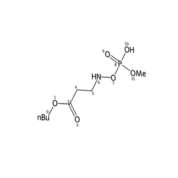 CCCCOC(=O)CCNOP(=O)(O)OC